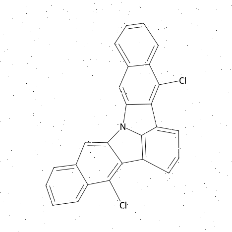 Clc1c2ccccc2cc2c1c1cccc3c4c(Cl)c5ccccc5cc4n2c13